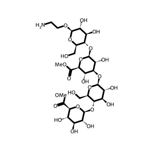 COC(=O)[C@H]1O[C@@H](O[C@H]2[C@H](O)[C@@H](O)[C@H](O[C@@H]3[C@@H](O)[C@H](O[C@H]4[C@H](O)[C@@H](O)[C@H](OCCN)O[C@@H]4CO)O[C@H](C(=O)OC)[C@H]3O)O[C@@H]2CO)[C@H](O)[C@@H](O)[C@@H]1O